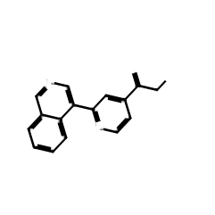 CCC(=O)c1ccnc(-c2cncc3ccccc23)c1